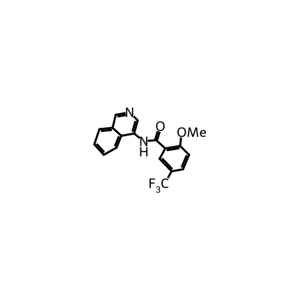 COc1ccc(C(F)(F)F)cc1C(=O)Nc1cncc2ccccc12